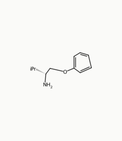 CC(C)[C@@H](N)COc1ccccc1